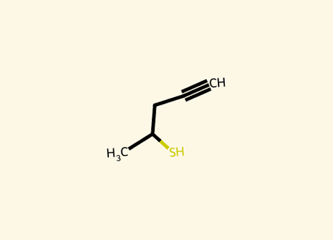 C#CCC(C)S